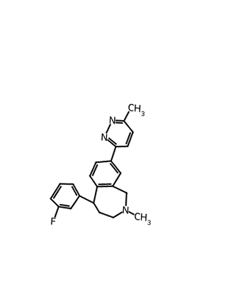 Cc1ccc(-c2ccc3c(c2)CN(C)CCC3c2cccc(F)c2)nn1